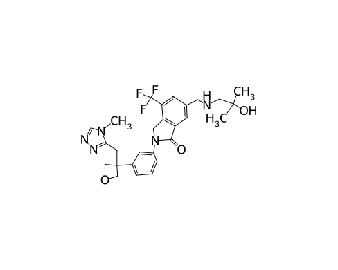 Cn1cnnc1CC1(c2cccc(N3Cc4c(cc(CNCC(C)(C)O)cc4C(F)(F)F)C3=O)c2)COC1